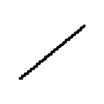 CCCCCCCCCCCCCCCCCCCCCCCCCCOCCCCCCCCCCCCCCCCCC